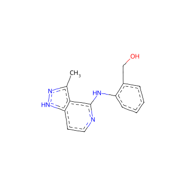 Cc1n[nH]c2ccnc(Nc3ccccc3CO)c12